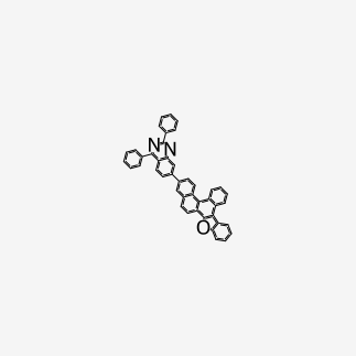 c1ccc(-c2nc(-c3ccccc3)c3ccc(-c4ccc5c(ccc6c7oc8ccccc8c7c7ccccc7c56)c4)cc3n2)cc1